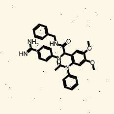 COc1cc(C(Nc2ccc(C(=N)N)cc2)C(=O)NCc2ccccc2)c(N(C(C)=O)c2ccccc2)cc1OC